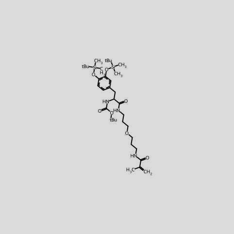 C=C(C)C(=O)NCCCOCCCNC(=O)C(Cc1ccc(O[Si](C)(C)C(C)(C)C)c(O[Si](C)(C)C(C)(C)C)c1)NC(=O)OC(C)(C)C